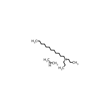 CCCCCCCCCCCCN(CCC)CCC.CNC